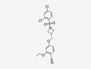 CCOc1cc(OCC2CN(S(=O)(=O)c3ccc(Cl)cc3Cl)C2)ccc1C#N